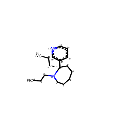 N#CCCN1CCCCC[C@]1(CCC#N)c1cccnc1